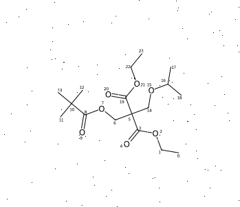 CCOC(=O)C(COC(=O)C(C)(C)C)(COC(C)C)C(=O)OCC